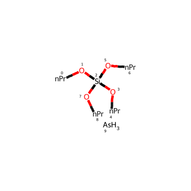 CCCO[Si](OCCC)(OCCC)OCCC.[AsH3]